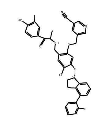 Cc1cc(C(=O)C(C)NCc2cc(Cl)c(O[C@H]3CCc4c(-c5ccccc5F)cccc43)cc2OCc2cncc(C#N)c2)ccc1O